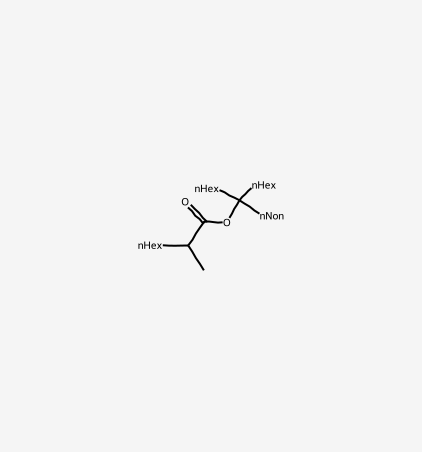 CCCCCCCCCC(CCCCCC)(CCCCCC)OC(=O)C(C)CCCCCC